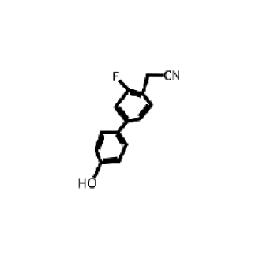 N#CCc1ccc(-c2ccc(O)cc2)cc1F